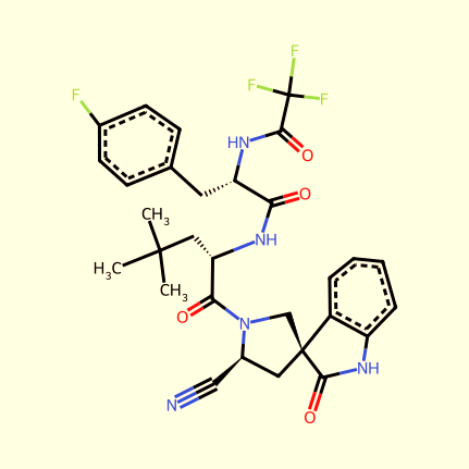 CC(C)(C)C[C@H](NC(=O)[C@H](Cc1ccc(F)cc1)NC(=O)C(F)(F)F)C(=O)N1C[C@]2(C[C@H]1C#N)C(=O)Nc1ccccc12